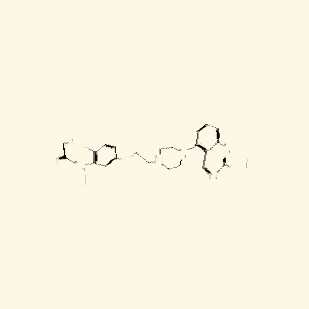 Cc1ncc2c(N3CCN(CCOc4ccc5c(c4)NC(=O)CO5)CC3)cccc2n1